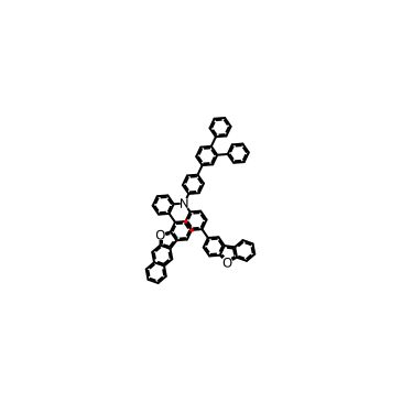 c1ccc(-c2ccc(-c3ccc(N(c4ccc(-c5ccc6oc7ccccc7c6c5)cc4)c4ccccc4-c4cccc5c4oc4cc6ccccc6cc45)cc3)cc2-c2ccccc2)cc1